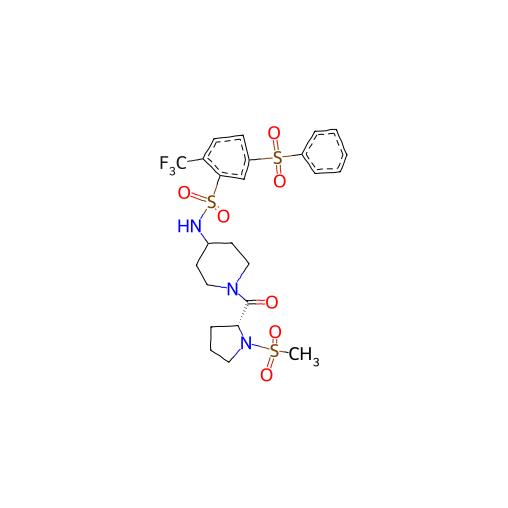 CS(=O)(=O)N1CCC[C@@H]1C(=O)N1CCC(NS(=O)(=O)c2cc(S(=O)(=O)c3ccccc3)ccc2C(F)(F)F)CC1